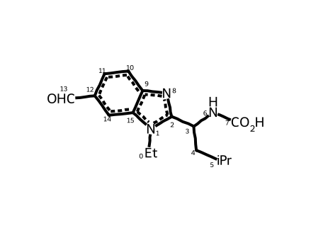 CCn1c(C(CC(C)C)NC(=O)O)nc2ccc(C=O)cc21